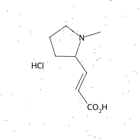 CN1CCCC1C=CC(=O)O.Cl